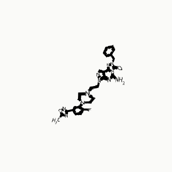 Cc1nc(-c2ccc(F)c(N3CCN(CCn4ncc5c4nc(N)n4c(=O)n(Cc6ccccc6)nc54)CC3)c2)no1